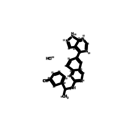 CC(Nc1ncc2cc(-c3ncnc4[nH]ncc34)ccc2n1)c1cccc(Cl)c1.Cl